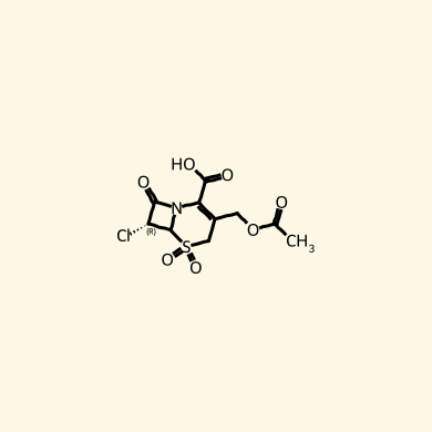 CC(=O)OCC1=C(C(=O)O)N2C(=O)[C@@H](Cl)C2S(=O)(=O)C1